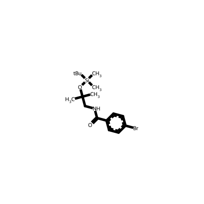 CC(C)(CNC(=O)c1ccc(Br)cc1)O[Si](C)(C)C(C)(C)C